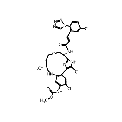 COC(=O)Nc1cc2c(cc1Cl)-c1nc([nH]c1Cl)[C@@H](NC(=O)/C=C/c1cc(Cl)ccc1-n1cnnn1)CCCC[C@@H](C)CN2